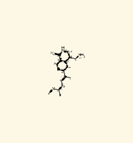 C=N/C(C)=N\C=C(/C)c1ccc2c(=O)[nH]nc(CN)c2c1